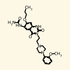 CCCOc1cc2[nH]c(=O)n(CCN3CCN(c4ccccc4OC)CC3)c(=O)c2cc1NC(N)=O